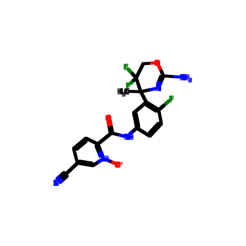 CC1(c2cc(NC(=O)c3ccc(C#N)c[n+]3[O-])ccc2F)N=C(N)OCC1(F)F